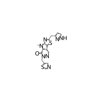 Cn1c2nc(Cc3cc[nH]n3)sc2c2cnn(Cc3cncs3)c(=O)c21